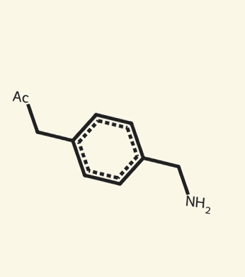 CC(=O)Cc1ccc(CN)cc1